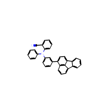 N#Cc1ccccc1N(c1ccccc1)c1cccc(-c2ccc3c4c(cccc24)-c2ccccc2-3)c1